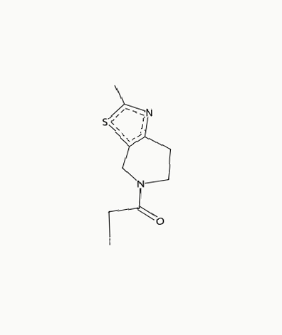 Cc1nc2c(s1)CN(C(=O)CI)CC2